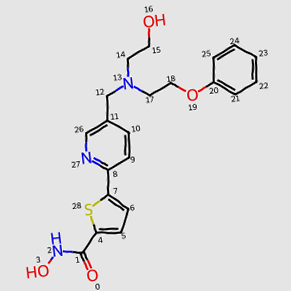 O=C(NO)c1ccc(-c2ccc(CN(CCO)CCOc3ccccc3)cn2)s1